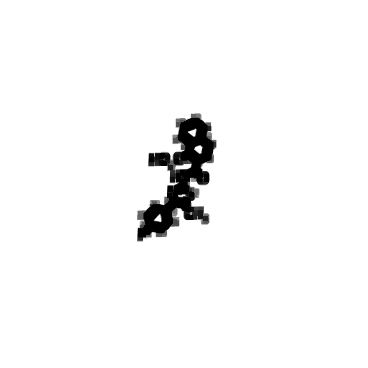 Cc1sc(NC(=O)c2ccc3ccccc3c2C(=O)O)nc1-c1ccc(F)cc1